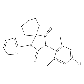 Cc1cc(Cl)cc(C)c1C1C(=O)N(c2ccccc2)C2(CCCCC2)C1=O